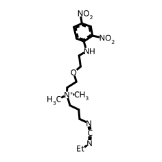 CCN=C=NCCC[N+](C)(C)CCOCCNc1ccc([N+](=O)[O-])cc1[N+](=O)[O-]